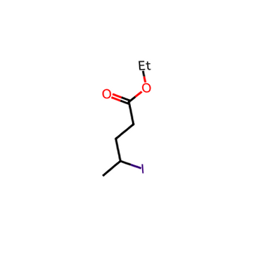 CCOC(=O)CCC(C)I